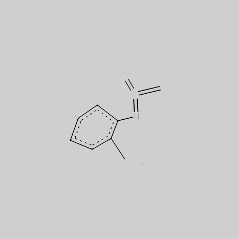 O=Cc1ccccc1N=S(=O)=O